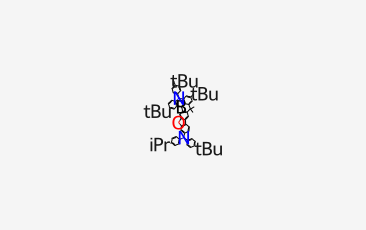 CC(C)c1ccc(N(c2ccc(C(C)(C)C)cc2)c2ccc3c(c2)oc2cc4c(cc23)C(C)(C)c2cc(C(C)(C)C)cc3c2B4c2cc(C(C)(C)C)ccc2N3c2ccc(C(C)(C)C)cc2)cc1